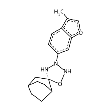 Cc1coc2cc(N3NO[C@@]4(CC5CCC4CC5)N3)ccc12